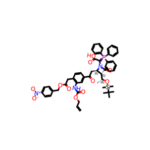 C=CCOC(=O)Nc1cc(C(=O)C[C@@H]2[C@@H]([C@@H](C)O[Si](C)(C)C(C)(C)C)C(=O)N2C(C(=O)O)=P(c2ccccc2)(c2ccccc2)c2ccccc2)ccc1CC(=O)OCc1ccc([N+](=O)[O-])cc1